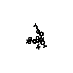 CC(C)CCCOc1cccc(C2=NC3(CCC(C(C)C)CC3)N([C@H](CCC(C)(C)C)c3ccc(C(=O)OC(C)C)cc3)C2=O)c1